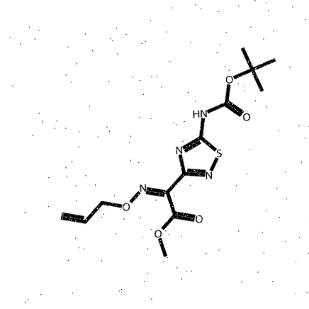 C=CCO/N=C(\C(=O)OC)c1nsc(NC(=O)OC(C)(C)C)n1